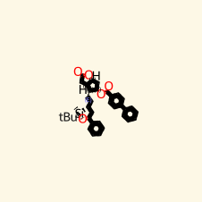 CC(C)(C)[Si](C)(C)OC(CC/C=C/[C@@H]1[C@H]2CC(=O)O[C@H]2C[C@H]1OC(=O)c1ccc(-c2ccccc2)cc1)c1ccccc1